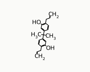 C=CCc1ccc(C(C)(C)c2ccc(CC=C)c(O)c2)cc1O